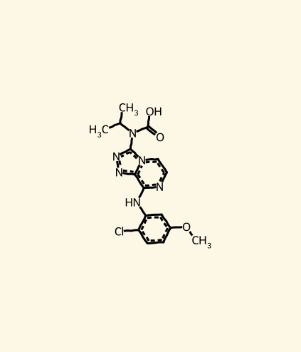 COc1ccc(Cl)c(Nc2nccn3c(N(C(=O)O)C(C)C)nnc23)c1